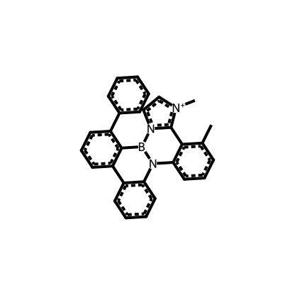 Cc1cccc2c1-c1n(cc[n+]1C)B1c3c(-c4ccccc4)cccc3-c3ccccc3N12